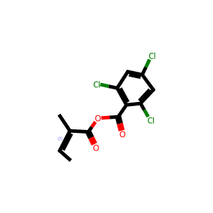 C/C=C(/C)C(=O)OC(=O)c1c(Cl)cc(Cl)cc1Cl